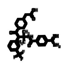 CC(C)(NC(=O)c1ccc(C(=N)N)cc1)C(C(=O)N1CCC(CC(=O)O)CC1)c1cccc(C(F)(F)F)c1